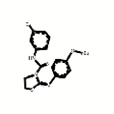 CCCCOc1ccc(/N=C2/SCCN2C(=S)Nc2cccc(Cl)c2)cc1